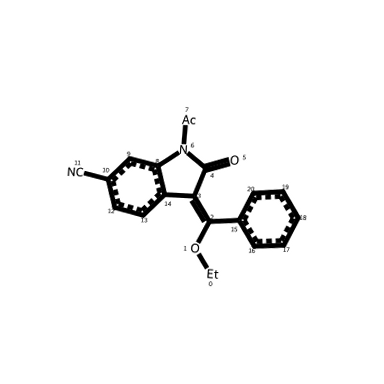 CCOC(=C1C(=O)N(C(C)=O)c2cc(C#N)ccc21)c1ccccc1